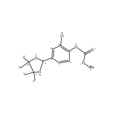 CC(C)(C)OC(=O)Oc1ccc(B2OC(C)(C)C(C)(C)O2)cc1Cl